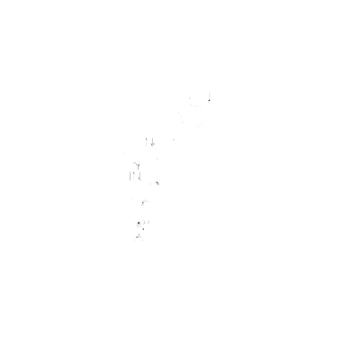 O=C(N[C@H]1CCN(CCc2ccc(F)cc2)C1)C12CC[N+]([O-])(CC1)CC2